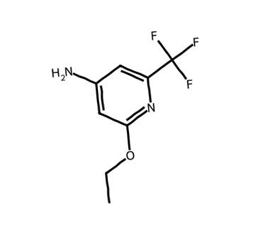 CCOc1cc(N)cc(C(F)(F)F)n1